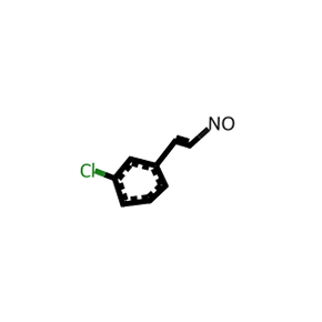 O=N/C=C/c1cccc(Cl)c1